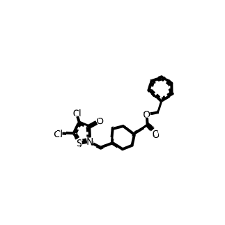 O=C(OCc1ccccc1)C1CCC(Cn2sc(Cl)c(Cl)c2=O)CC1